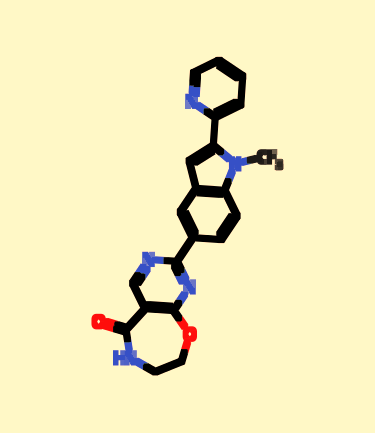 O=C1NCCOc2nc(-c3ccc4c(c3)cc(-c3ccccn3)n4C(F)(F)F)ncc21